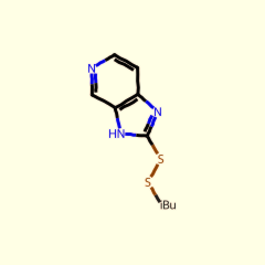 CCC(C)SSc1nc2ccncc2[nH]1